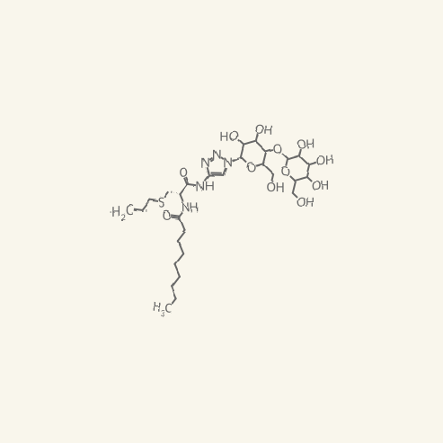 [CH2][CH]CSC[C@@H](NC(=O)CCCCCCCC)C(=O)Nc1cn([C@@H]2OC(CO)C(OC3OC(CO)C(O)C(O)C3O)C(O)C2O)nn1